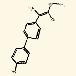 N#C/C(NN)=C(/N)c1ccc(-c2ccc(S)cc2)cc1